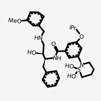 COc1cccc(CNC[C@H](O)[C@H](Cc2ccccc2)NC(=O)c2cc(OC(C)C)cc(N3CCCCS3(O)O)c2)c1